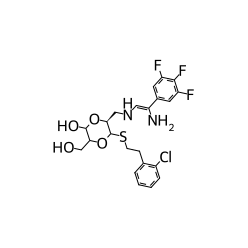 N/C(=C\NC[C@@H]1OC(O)C(CO)OC1SCCc1ccccc1Cl)c1cc(F)c(F)c(F)c1